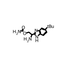 CC(C)(C)c1ccc2[nH]c(C(N)COC(N)=O)nc2c1